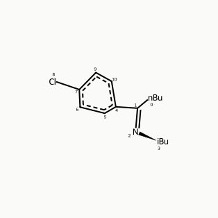 CCCC/C(=N\[C@H](C)CC)c1ccc(Cl)cc1